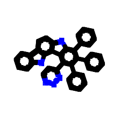 c1ccc(-c2c3c(c(-c4ccnnn4)c(-c4ccccc4)c2-c2ccccc2)-c2c4c(ccc2=N3)=c2ccccc2=N4)cc1